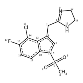 CS(=O)(=O)n1cc(CC2=NCCN2)c2c(Cl)c(F)ccc21